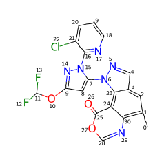 Cc1cc2cnn(-c3cc(OC(F)F)nn3-c3ncccc3Cl)c2c2c(=O)ocnc12